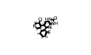 O=c1[nH]c2cc(-c3ccncc3Cl)c(-c3ccccc3F)nc2[nH]1